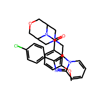 COc1cccc(C(=O)N2C3COCC2CN(Cc2c(-c4ccc(Cl)cc4)nc4ccccn24)C3)c1